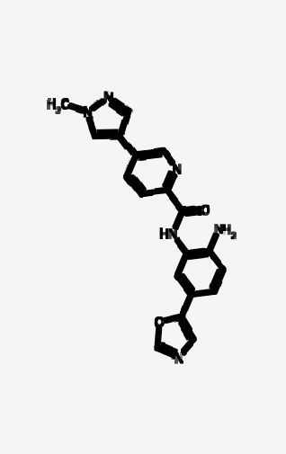 Cn1cc(-c2ccc(C(=O)Nc3cc(-c4cnco4)ccc3N)nc2)cn1